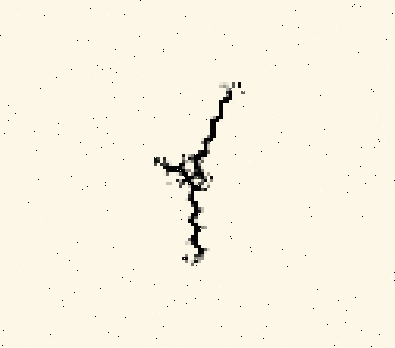 CCCCCCCC=CC(=O)C(O)(C(=O)CCCCCCC)C(O)CO